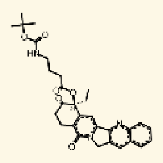 CC[C@@]1(OC(=O)CCCNC(=O)OC(C)(C)C)C(=O)CCc2c1cc1n(c2=O)Cc2cc3ccccc3nc2-1